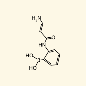 NC=CC(=O)Nc1ccccc1B(O)O